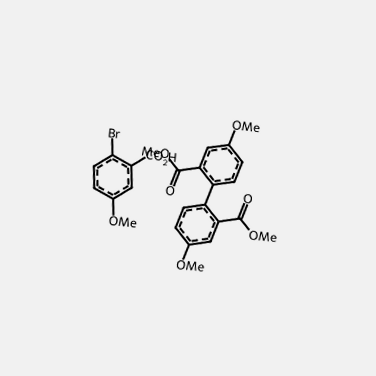 COC(=O)c1cc(OC)ccc1-c1ccc(OC)cc1C(=O)OC.COc1ccc(Br)c(C(=O)O)c1